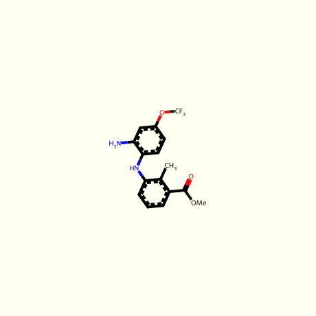 COC(=O)c1cccc(Nc2ccc(OC(F)(F)F)cc2N)c1C